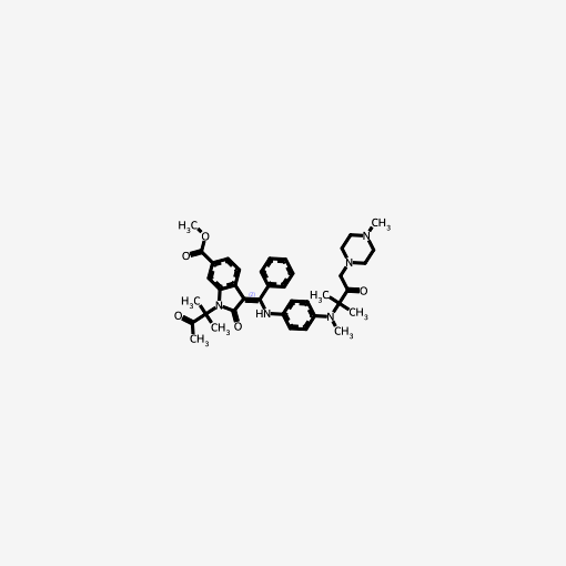 COC(=O)c1ccc2c(c1)N(C(C)(C)C(C)=O)C(=O)/C2=C(\Nc1ccc(N(C)C(C)(C)C(=O)CN2CCN(C)CC2)cc1)c1ccccc1